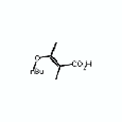 CCCCOC(C)=C(C)C(=O)O